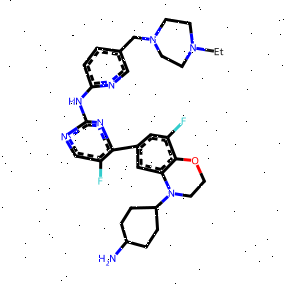 CCN1CCN(Cc2ccc(Nc3ncc(F)c(-c4cc(F)c5c(c4)N(C4CCC(N)CC4)CCO5)n3)nc2)CC1